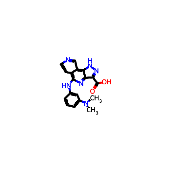 CN(C)c1cccc(Nc2nc3c(C(=O)O)n[nH]c3c3cnccc23)c1